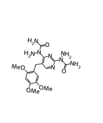 COc1cc(OC)c(OC)cc1Cc1cnc(N(N)C(N)=O)nc1N(N)C(N)=O